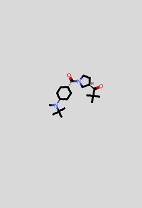 CN([C@H]1CC[C@H](C(=O)N2CC[C@@H](C(=O)C(C)(C)C)C2)CC1)C(C)(C)C